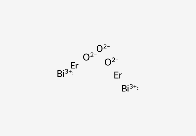 [Bi+3].[Bi+3].[Er].[Er].[O-2].[O-2].[O-2]